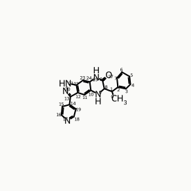 CC(c1ccccc1)C1Nc2cc3c(-c4ccncc4)n[nH]c3cc2NC1=O